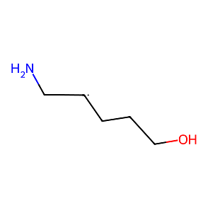 NC[CH]CCCO